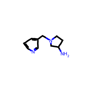 NC1CCN(Cc2cccnc2)C1